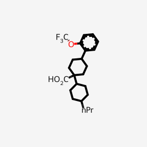 CCCC1CCC(C2(C(=O)O)CCC(c3ccccc3OC(F)(F)F)CC2)CC1